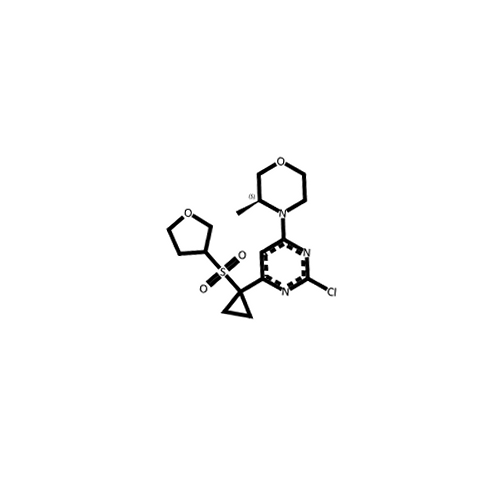 C[C@H]1COCCN1c1cc(C2(S(=O)(=O)C3CCOC3)CC2)nc(Cl)n1